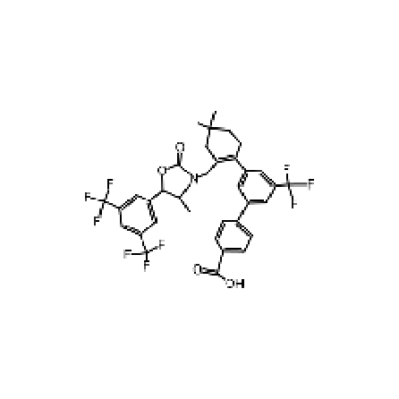 CC1C(c2cc(C(F)(F)F)cc(C(F)(F)F)c2)OC(=O)N1CC1=C(c2cc(-c3ccc(C(=O)O)cc3)cc(C(F)(F)F)c2)CCC(C)(C)C1